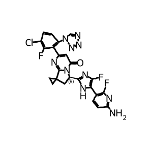 Nc1ccc(-c2[nH]c([C@H]3CC4(CC4)c4nc(-c5c(-n6cnnn6)ccc(Cl)c5F)cc(=O)n43)nc2F)c(F)n1